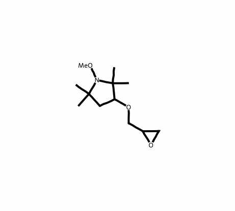 CON1C(C)(C)CC(OCC2CO2)C1(C)C